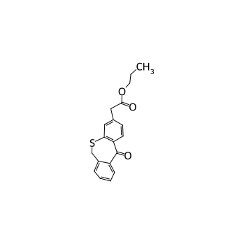 CCCOC(=O)Cc1ccc2c(c1)SCc1ccccc1C2=O